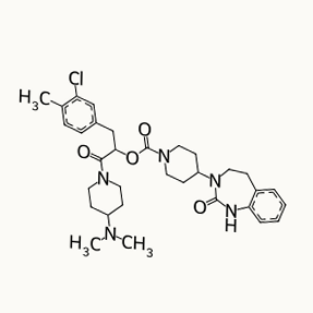 Cc1ccc(CC(OC(=O)N2CCC(N3CCc4ccccc4NC3=O)CC2)C(=O)N2CCC(N(C)C)CC2)cc1Cl